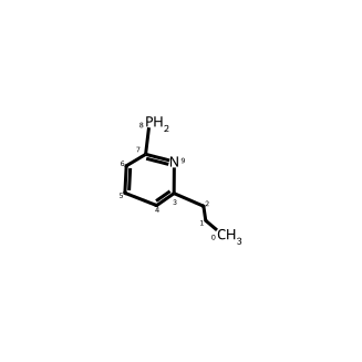 CCCc1cccc(P)n1